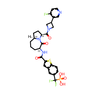 O=C(N[C@H]1CCC[C@H]2CC[C@@H](C(=O)N3CC(c4cnccc4F)C3)N2C1=O)c1cc2cc(C(F)(F)P(=O)(O)O)ccc2s1